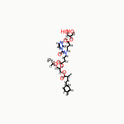 Cc1ccc(CCC(C)C(=O)OCC(CO[C@@H](C)C(C)C)OC(=O)CCCN(CCCC(=O)OC(CO)CO)C(=O)n2ccnc2)cc1